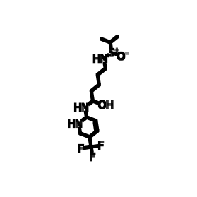 CC(C)[S+]([O-])NCCCCC(O)NC1C=CC(C(F)(F)F)CN1